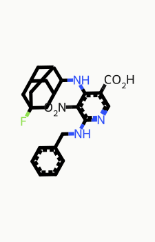 O=C(O)c1cnc(NCc2ccccc2)c([N+](=O)[O-])c1NC1C2CC3CC1CC(F)(C3)C2